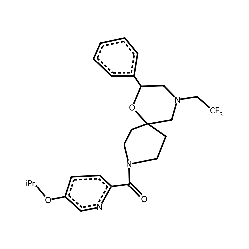 CC(C)Oc1ccc(C(=O)N2CCC3(CC2)CN(CC(F)(F)F)CC(c2ccccc2)O3)nc1